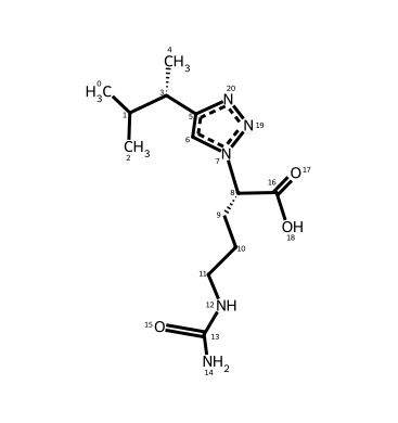 CC(C)[C@H](C)c1cn([C@@H](CCCNC(N)=O)C(=O)O)nn1